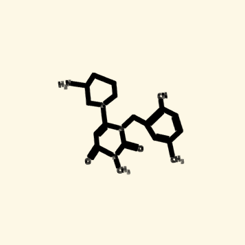 Cc1ccc(C#N)c(Cn2c(N3CCCC(N)C3)cc(=O)n(C)c2=O)c1